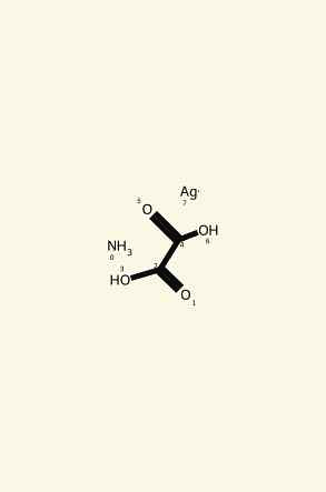 N.O=C(O)C(=O)O.[Ag]